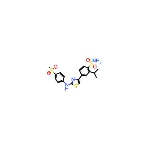 CC(C)c1cc(-c2csc(Nc3ccc(S(C)(=O)=O)cc3)n2)ccc1S(N)(=O)=O